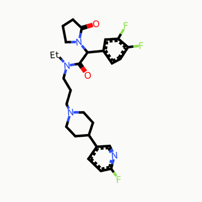 CCN(CCCN1CCC(c2ccc(F)nc2)CC1)C(=O)C(c1ccc(F)c(F)c1)N1CCCC1=O